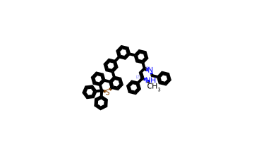 CN/C(=C\C(=N/Cc1ccccc1)c1cccc(-c2cccc(-c3cccc(-c4cccc5c4-c4ccccc4C(c4ccccc4)(c4ccccc4)S5)c3)c2)c1)c1ccccc1